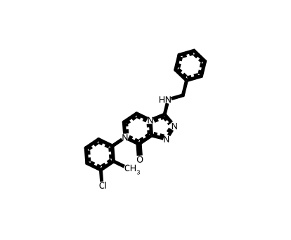 Cc1c(Cl)cccc1-n1ccn2c(NCc3ccccc3)nnc2c1=O